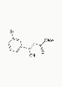 COC(=O)C=C(C#N)c1cccc(Br)c1